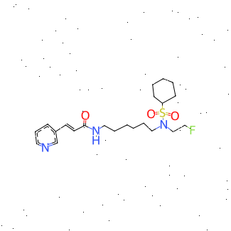 O=C(C=Cc1cccnc1)NCCCCCCN(CCF)S(=O)(=O)C1CCCCC1